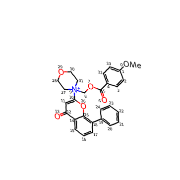 COc1ccc(C(=O)OC[N+]2(c3cc(=O)c4cccc(-c5ccccc5)c4o3)CCOCC2)cc1